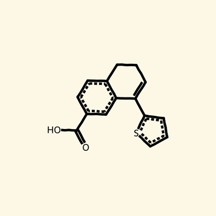 O=C(O)c1ccc2c(c1)C(c1cccs1)=CCC2